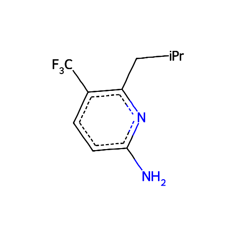 CC(C)Cc1nc(N)ccc1C(F)(F)F